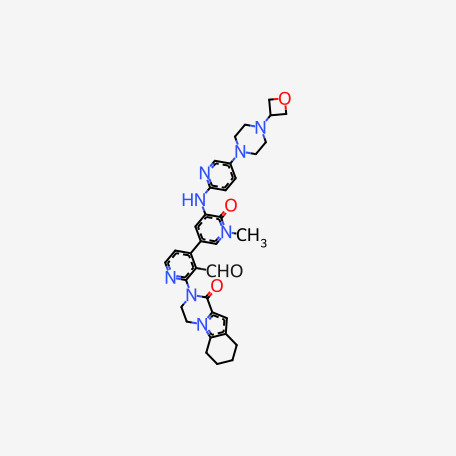 Cn1cc(-c2ccnc(N3CCn4c(cc5c4CCCC5)C3=O)c2C=O)cc(Nc2ccc(N3CCN(C4COC4)CC3)cn2)c1=O